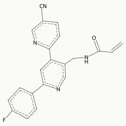 C=CC(=O)NCc1cnc(-c2ccc(F)cc2)cc1-c1ccc(C#N)cn1